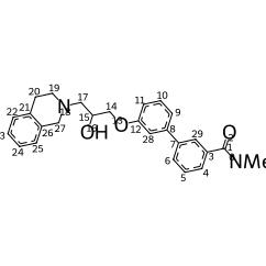 CNC(=O)c1cccc(-c2cccc(OCC(O)CN3CCc4ccccc4C3)c2)c1